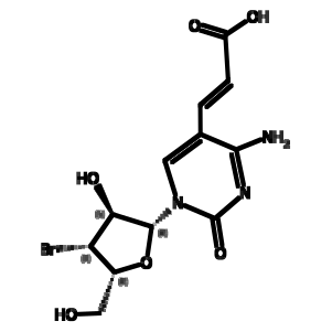 Nc1nc(=O)n([C@@H]2O[C@H](CO)[C@H](Br)[C@H]2O)cc1C=CC(=O)O